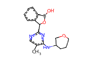 Cc1cnc(C2OB(O)c3ccccc32)nc1NC1CCCOC1